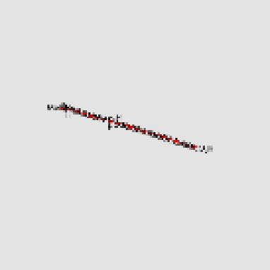 CSC1CC(=O)N(CCC(=O)NCCOCCOCCOCCOCCOCCOCCOCCOCCOCCOCCOCCOCCC(=O)NCCOCCC(=O)NCCOCCOCCOCCOCCOCCOCCOCCOCCOCCOCCOCCOCCOCCOCCOCCOCCOCCOCCOCCOCCOCCOCCOCCOCCC(=O)O)C1=O